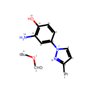 CC(C)(C)OC=O.CC(C)c1ccn(-c2ccc(O)c(N)c2)n1